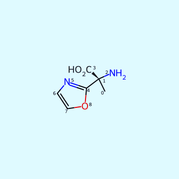 C[C@](N)(C(=O)O)c1ncco1